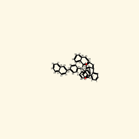 c1ccc2c(c1)-c1cccc3c1-c1cc(N(c4ccc(-c5ccc6ccccc6c5)cc4)c4cccc5ccccc45)ccc1-c1cccc-3c1-2